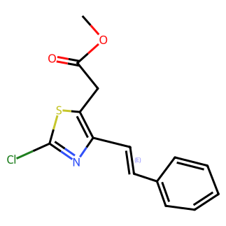 COC(=O)Cc1sc(Cl)nc1/C=C/c1ccccc1